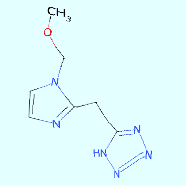 COCn1ccnc1Cc1nnn[nH]1